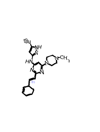 CN1CCN(c2cc(Nc3cc(C(C)(C)C)[nH]n3)nc(/C=C/C3C=CC=CC3)n2)CC1